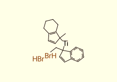 Br.Br.CC[C]1([Ti][C]2(C)C=CC3=C2CCCC3)C=Cc2ccccc21